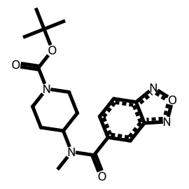 CN(C(=O)c1ccc2nonc2c1)C1CCN(C(=O)OC(C)(C)C)CC1